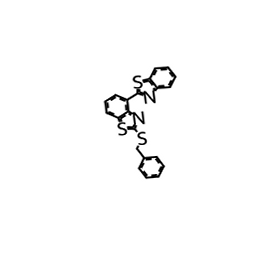 c1ccc(CSc2nc3c(-c4nc5ccccc5s4)cccc3s2)cc1